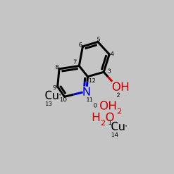 O.O.Oc1cccc2cccnc12.[Cu].[Cu]